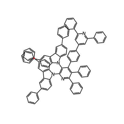 c1ccc(-c2ccc3c(c2)c2cc(-c4ccccc4)ccc2n3-c2nc(-c3ccccc3)c(-c3ccccc3)c(-c3ccc(-c4cc(-c5ccccc5)nc(-c5ccccc5)c4)cc3)c2-n2c3ccc(-c4ccccc4)cc3c3cc(-c4ccccc4)ccc32)cc1